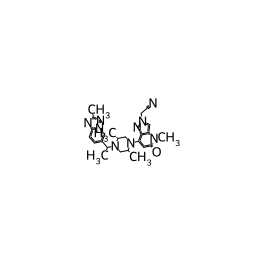 Cc1nc2ccc(C(C)N3C[C@H](C)N(c4cc(=O)n(C)c5cn(CC#N)nc45)C[C@H]3C)cn2n1